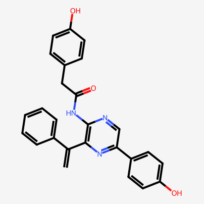 C=C(c1ccccc1)c1nc(-c2ccc(O)cc2)cnc1NC(=O)Cc1ccc(O)cc1